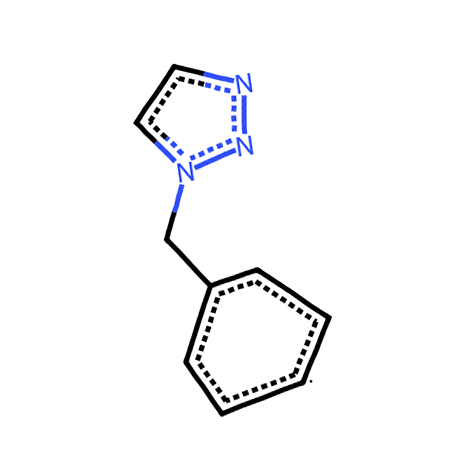 [c]1ccc(Cn2ccnn2)cc1